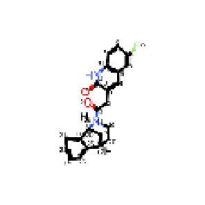 O=C(Cc1cc2cc(F)ccc2[nH]c1=O)N1CC[C@@H]2C[C@H]1c1ccccc12